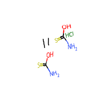 CC.CC.Cl.NC(O)=S.NC(O)=S